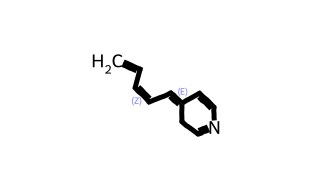 C=C/C=C\C=C1\C=CN=CC1